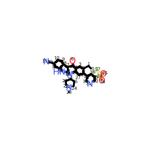 CCc1cc2c(=O)c3c4ccc(C#N)cc4[nH]c3n(C3CCN(C)CC3)c2cc1-c1cncc(S(=O)(=O)F)c1